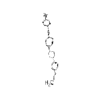 C=CCCc1ccc([C@H]2CC[C@H](c3ccc(C#Cc4ccc(Br)cc4)cc3)CC2)cc1